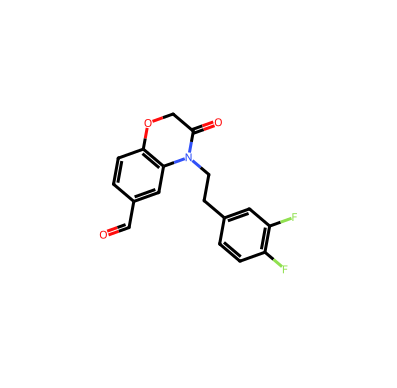 O=Cc1ccc2c(c1)N(CCc1ccc(F)c(F)c1)C(=O)CO2